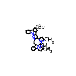 C=C1C2C(CCc3nc4c(cc3-c3ccc(C)c[n+]31)c1cc(C(C)(C)C)cc3c5ccccc5n4c31)c1ccccc1-c1ccc(C)c[n+]12